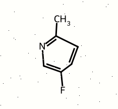 Cc1ccc(F)cn1